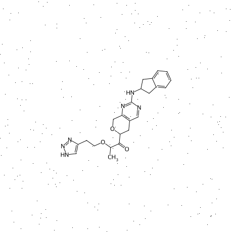 CC(OCCc1c[nH]nn1)C(=O)C1Cc2cnc(NC3Cc4ccccc4C3)nc2CO1